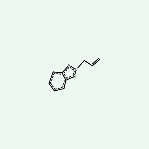 C=CCn1nc2ccccc2n1